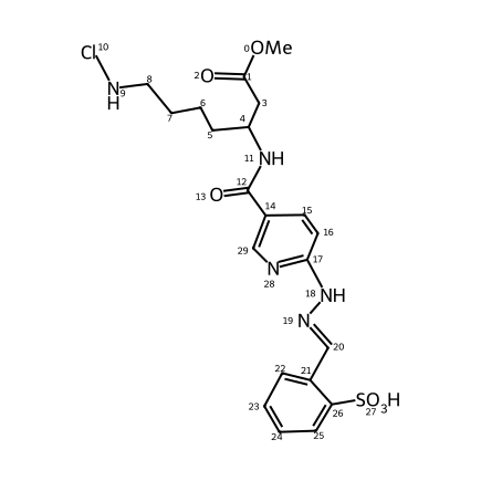 COC(=O)CC(CCCCNCl)NC(=O)c1ccc(NN=Cc2ccccc2S(=O)(=O)O)nc1